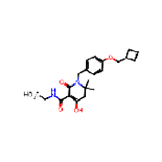 CC1(C)CC(O)=C(C(=O)NCC(=O)O)C(=O)N1Cc1ccc(OCC2CCC2)cc1